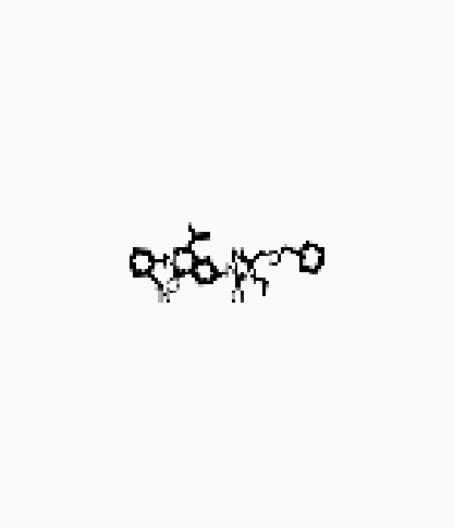 C=C(C)c1cn(-c2ccccc2C#N)c(=O)c2ccc(-n3nc(COCc4ccccc4)n(CC)c3=O)cc12